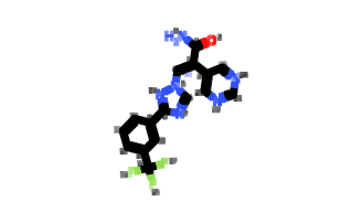 NC(=O)/C(=C/n1cnc(-c2cccc(C(F)(F)F)c2)n1)c1cncnc1